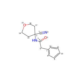 N#CC1(NC(=O)Cc2ccccc2)CCOCC1